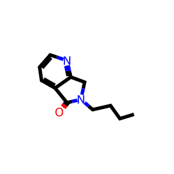 CCCCN1Cc2ncccc2C1=O